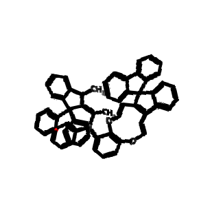 C/C(=C1\C(C)c2ccccc2C1(c1ccccc1)c1ccccc1)N(c1ccccc1)c1cccc2c1O/C=C/C1=C(/C=C/O2)c2ccccc2C12c1ccccc1-c1ccccc12